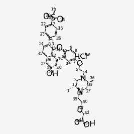 C[C@@H]1CN(CCOc2ccc(Oc3c(-c4ccc(S(C)(=O)=O)cc4)ccc4cc(O)ccc34)cc2)[C@@H](C)CN1CCOCC(=O)O.Cl